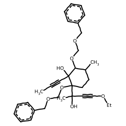 CC#CC1(O)C(OCOCc2ccccc2)C(C)CCC1(OCOCc1ccccc1)C(C)(O)C#COCC